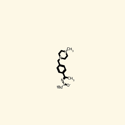 C/C(=N\[S@+]([O-])C(C)(C)C)c1ccc(CN2CCN(C)CC2)cc1